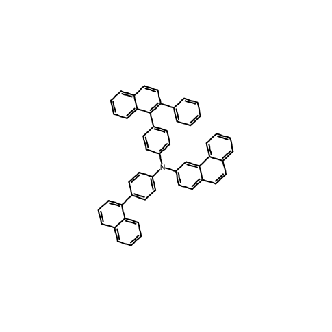 c1ccc(-c2ccc3ccccc3c2-c2ccc(N(c3ccc(-c4cccc5ccccc45)cc3)c3ccc4ccc5ccccc5c4c3)cc2)cc1